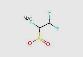 O=S([O-])C(F)C(F)F.[Na+]